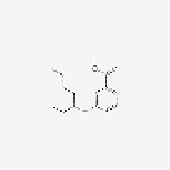 [CH]=C(OC)c1cc[c]c(CC(CC)CCCC)c1